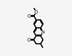 COC(=O)c1ccc2nc3c(cc2c1)C(=O)CC(C)C3